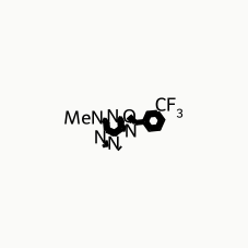 CNc1nc2oc(-c3cccc(C(F)(F)F)c3)nc2c2c1ncn2C